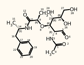 CC(=O)N[C@@H](C=O)[C@@H](O[C@H](C)C(=O)N[C@@H](C)Cc1ccccc1)[C@H](O)[C@H](O)CO